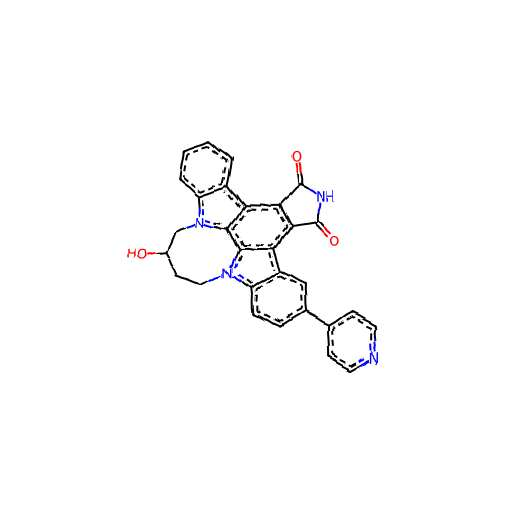 O=C1NC(=O)c2c1c1c3cc(-c4ccncc4)ccc3n3c1c1c2c2ccccc2n1CC(O)CC3